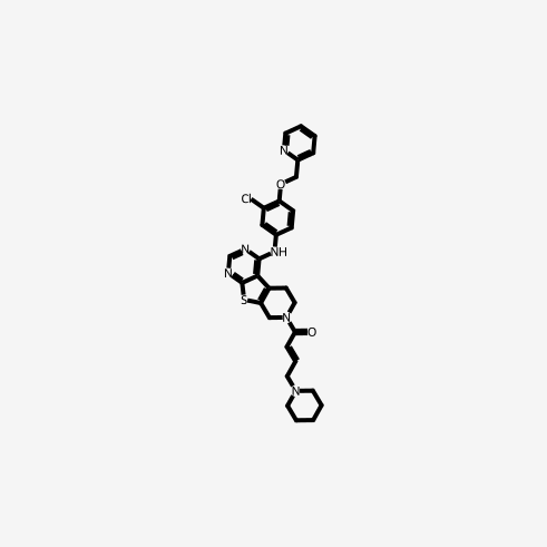 O=C(/C=C/CN1CCCCC1)N1CCc2c(sc3ncnc(Nc4ccc(OCc5ccccn5)c(Cl)c4)c23)C1